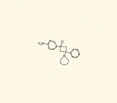 O=[N+]([O-])c1ccc([N+]2([O-])CC(c3ccccc3)(N3CCCCC3)C2)cc1